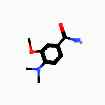 COc1cc(C(N)=O)ccc1N(C)C